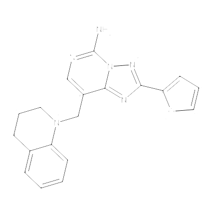 Nc1ncc(CN2CCCc3ccccc32)c2nc(-c3ccco3)nn12